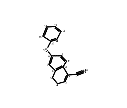 N#CC1=CCCc2cc(Sc3ccccc3)ccc21